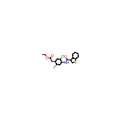 CCOC(=O)Cc1cc(Cl)c(NC(=O)c2csc3ccccc23)cc1F